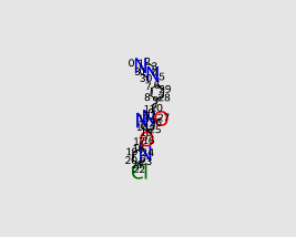 CN1CCN(Cc2ccc(CCn3ncc(OCc4ccc(Cl)cn4)cc3=O)cc2)CC1